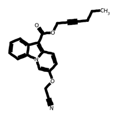 CCCC#CCOC(=O)c1c2ccccc2n2cc(OCC#N)ccc12